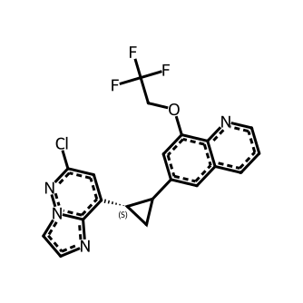 FC(F)(F)COc1cc(C2C[C@@H]2c2cc(Cl)nn3ccnc23)cc2cccnc12